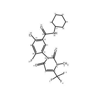 Cn1c(C(F)(F)F)cc(=O)n(-c2cc(C(=O)NC3CCCCC3)c(Cl)cc2F)c1=O